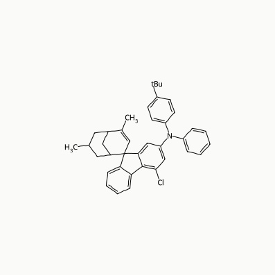 CC1=CC2(c3ccccc3-c3c(Cl)cc(N(c4ccccc4)c4ccc(C(C)(C)C)cc4)cc32)C2CC(C)CC1C2